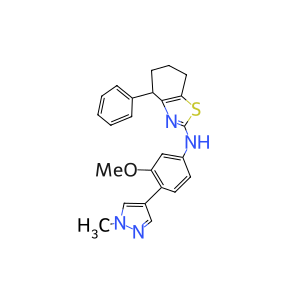 COc1cc(Nc2nc3c(s2)CCCC3c2ccccc2)ccc1-c1cnn(C)c1